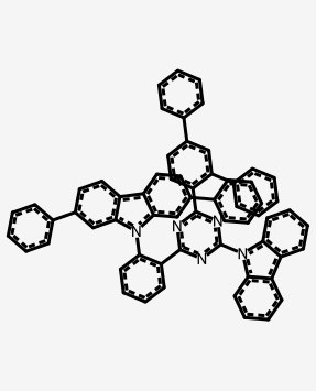 c1ccc(-c2ccc(-c3nc(-c4ccccc4-n4c5cc(-c6ccccc6)ccc5c5ccc(-c6ccccc6)cc54)nc(-n4c5ccccc5c5ccccc54)n3)c(-c3ccccc3)c2)cc1